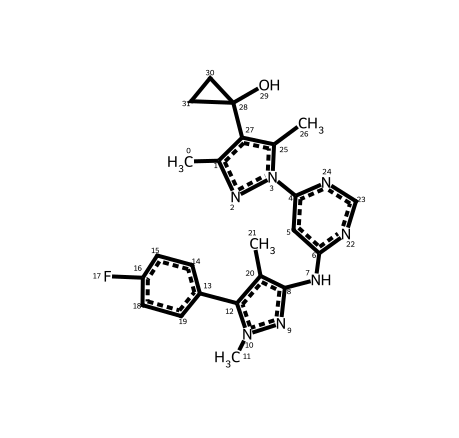 Cc1nn(-c2cc(Nc3nn(C)c(-c4ccc(F)cc4)c3C)ncn2)c(C)c1C1(O)CC1